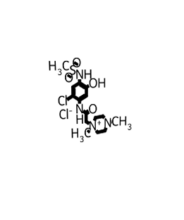 CN1CC[N+](C)(CC(=O)Nc2cc(O)c(NS(C)(=O)=O)cc2Cl)CC1.[Cl-]